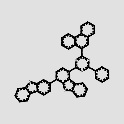 c1ccc(-c2nc(-c3cc4ccccc4c4ccccc34)nc(-c3ccc(-c4ccc5c(c4)oc4ccccc45)c4oc5ccccc5c34)n2)cc1